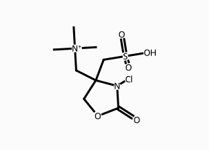 C[N+](C)(C)CC1(CS(=O)(=O)O)COC(=O)N1Cl